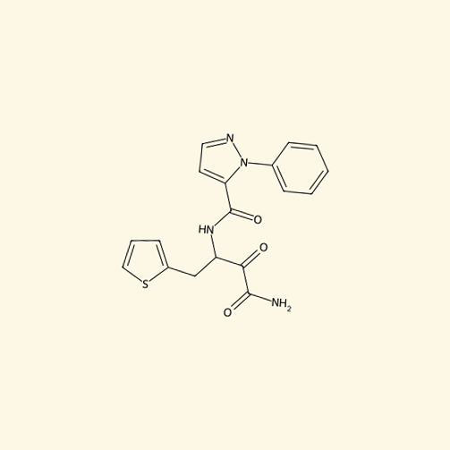 NC(=O)C(=O)C(Cc1cccs1)NC(=O)c1ccnn1-c1ccccc1